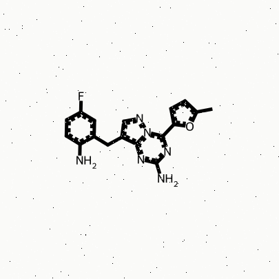 Cc1ccc(-c2nc(N)nc3c(Cc4cc(F)ccc4N)cnn23)o1